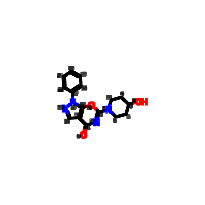 O=c1nc(N2CCC(O)CC2)oc2c1cnn2-c1ccccc1